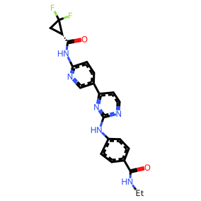 CCNC(=O)c1ccc(Nc2nccc(-c3ccc(NC(=O)[C@@H]4CC4(F)F)nc3)n2)cc1